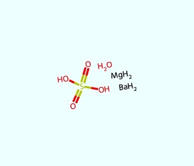 O.O=S(=O)(O)O.[BaH2].[MgH2]